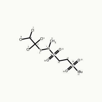 CN(SC(Cl)(Cl)C(Cl)Cl)S(=O)(=O)CCS(=O)(=O)C(C)(C)C